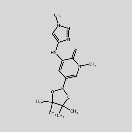 Cn1cc(Nc2cc(B3OC(C)(C)C(C)(C)O3)cn(C)c2=O)nn1